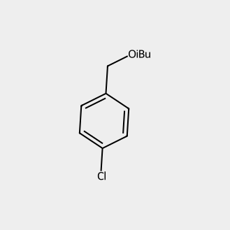 CC(C)COCc1ccc(Cl)cc1